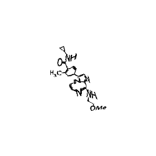 COCCNc1nccn2c(-c3ccc(C(=O)NC4CC4)c(C)c3)cnc12